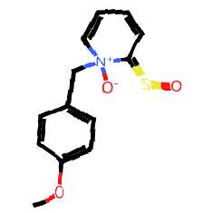 COc1ccc(C[N+]2([O-])C=CC=CC2=S=O)cc1